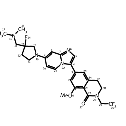 COc1cc(-c2cnc3cc(N4CCC(F)(CN(C)C)C4)ccn23)cc2c1C(=O)N(CC(F)(F)F)CC2